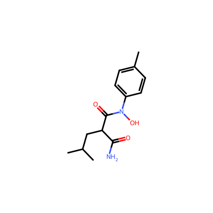 Cc1ccc(N(O)C(=O)C(CC(C)C)C(N)=O)cc1